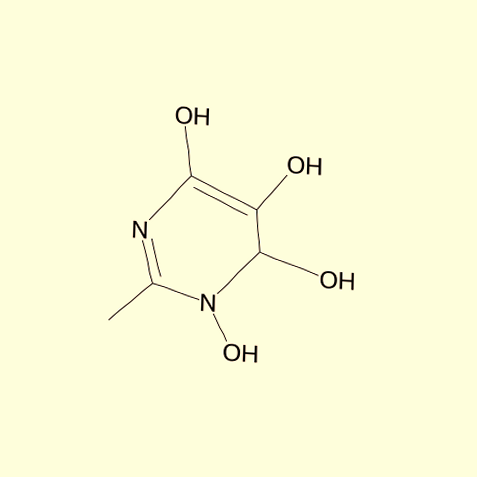 CC1=NC(O)=C(O)C(O)N1O